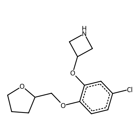 Clc1ccc(OCC2CCCO2)c(OC2CNC2)c1